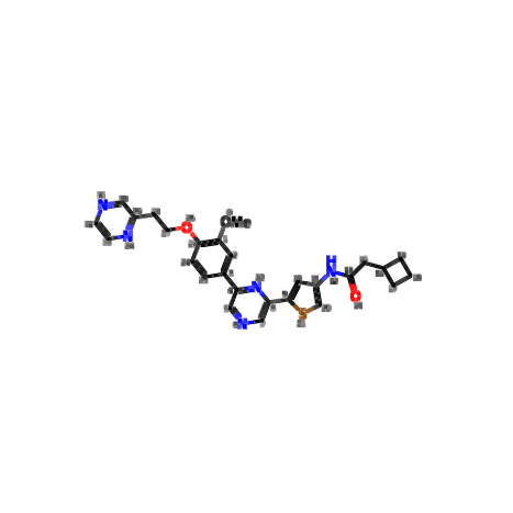 COc1cc(-c2cncc(-c3cc(NC(=O)CC4CCC4)cs3)n2)ccc1OCCc1cnccn1